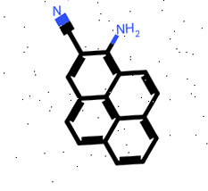 N#Cc1cc2ccc3cccc4ccc(c1N)c2c34